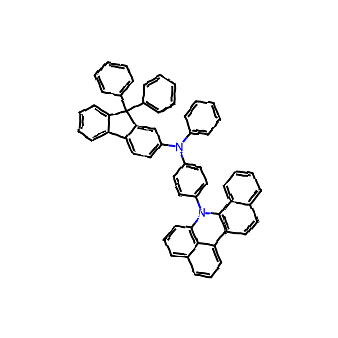 c1ccc(N(c2ccc(N3c4c(ccc5ccccc45)-c4cccc5cccc3c45)cc2)c2ccc3c(c2)C(c2ccccc2)(c2ccccc2)c2ccccc2-3)cc1